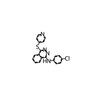 Clc1ccc(Nc2nnc(Sc3ccncc3)c3ccccc23)cc1